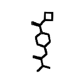 CC(C)C(=O)CC1CCN(C(=O)C2CCC2)CC1